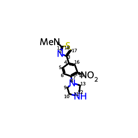 CNc1nc(-c2ccc(N3CCNCC3)c([N+](=O)[O-])c2)cs1